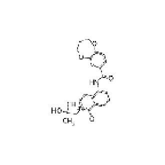 CC(C)(O)Cn1ccc2c(NC(=O)c3ccc4c(c3)OCCCO4)cccc2c1=O